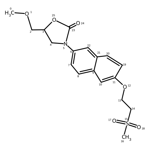 COCC1CN(c2ccc3cc(OCCS(C)(=O)=O)ccc3c2)C(=O)O1